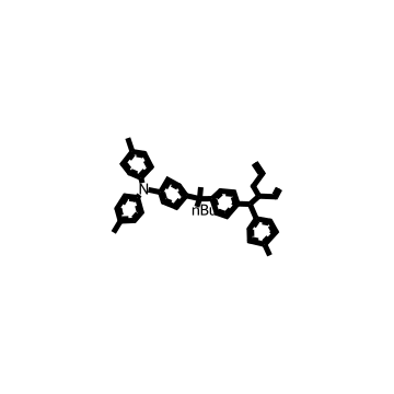 C=CCC(C=C)C(c1ccc(C)cc1)c1ccc(C(C)(CCCC)c2ccc(N(c3ccc(C)cc3)c3ccc(C)cc3)cc2)cc1